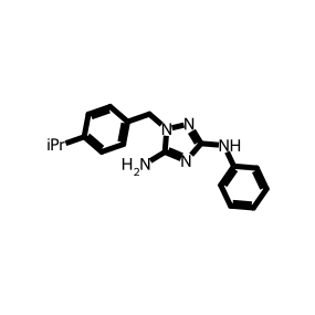 CC(C)c1ccc(Cn2nc(Nc3ccccc3)nc2N)cc1